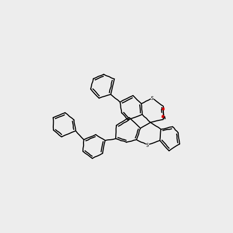 c1ccc(-c2cccc(-c3ccc4c(c3)Sc3ccccc3C43c4ccccc4Sc4cc(-c5ccccc5)ccc43)c2)cc1